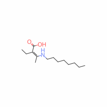 CCCCCCCCN/C(C)=C(/CC)C(=O)O